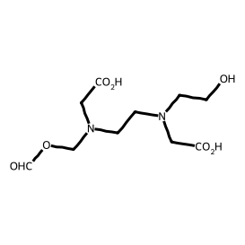 O=COCN(CCN(CCO)CC(=O)O)CC(=O)O